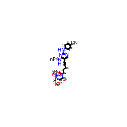 CCCNc1nc(Nc2ccc(C#N)cc2)ncc1C#CCCCNC(=O)[C@H](CO)N(C)C(=O)OC(C)(C)C